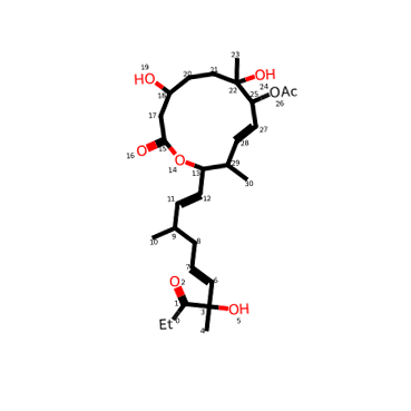 CCC(=O)C(C)(O)/C=C/CC(C)/C=C/C1OC(=O)CC(O)CCC(C)(O)C(OC(C)=O)/C=C/C1C